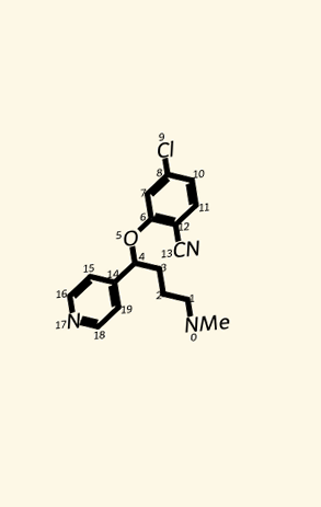 CNCCCC(Oc1cc(Cl)ccc1C#N)c1ccncc1